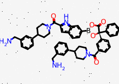 NCc1cccc(C2CCN(C(=O)c3cccc([C@@]4(c5ccccc5)OB(c5ccc6cc(C(=O)N7CCC(c8cccc(CN)c8)CC7)[nH]c6c5)OC4=O)c3)CC2)c1